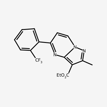 CCOC(=O)c1c(C)nn2ccc(-c3ccccc3C(F)(F)F)nc12